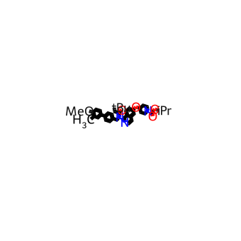 COc1ccc(-c2ccc(CN(C(=O)CC(C)(C)C)c3nccc4cc(OC5CCN(C(=O)OC(C)C)CC5)ccc34)cc2)cc1C